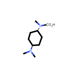 CN(C)[C@H]1CC[C@H](N(C)C(=O)O)CC1